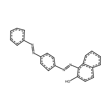 Oc1ccc2ccccc2c1N=Nc1ccc(N=Nc2ccccc2)cc1